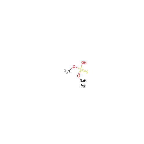 O=[N+]([O-])OS(=O)(O)=S.[Ag].[NaH]